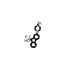 CC(=O)N1CCN(c2ccc3c(c2)C(O)(C(F)(F)F)c2ccccc2-3)CC1